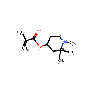 C=C(C)C(=O)OC1CCN(C)C(C)(C)C1